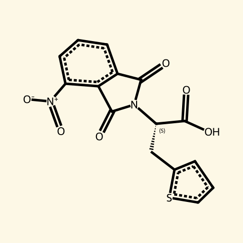 O=C(O)[C@H](Cc1cccs1)N1C(=O)c2cccc([N+](=O)[O-])c2C1=O